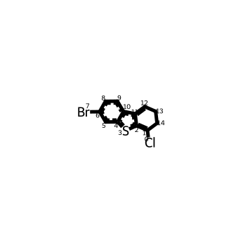 ClC1=c2sc3cc(Br)ccc3c2=CCC1